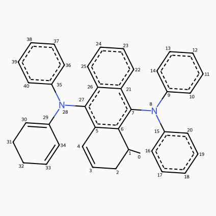 CC1CC=Cc2c1c(N(c1ccccc1)c1ccccc1)c1ccccc1c2N(C1=CCCC=C1)c1ccccc1